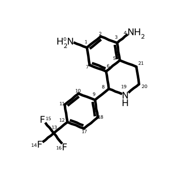 Nc1cc(N)c2c(c1)C(c1ccc(C(F)(F)F)cc1)NCC2